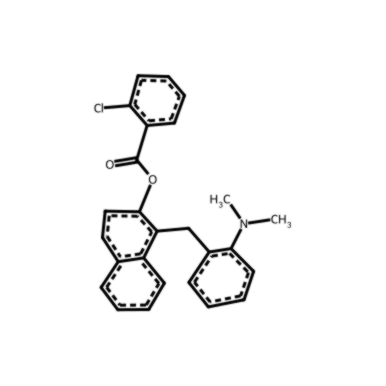 CN(C)c1ccccc1Cc1c(OC(=O)c2ccccc2Cl)ccc2ccccc12